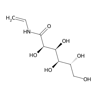 C=CNC(=O)[C@H](O)[C@@H](O)[C@H](O)[C@H](O)CO